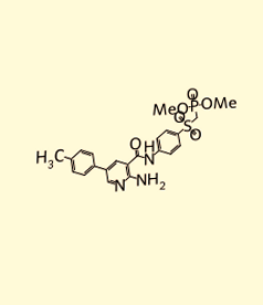 COP(=O)(CS(=O)(=O)c1ccc(NC(=O)c2cc(-c3ccc(C)cc3)cnc2N)cc1)OC